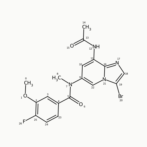 COc1cc(C(=O)N(C)c2cc(NC(C)=O)c3ncc(Br)n3c2)ccc1F